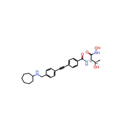 C[C@@H](O)[C@H](NC(=O)c1ccc(C#Cc2ccc(CNC3CCCCCC3)cc2)cc1)C(=O)NO